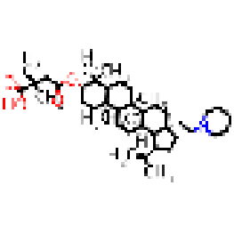 C=C(C)[C@@H]1CC[C@]2(CCN3CCCCC3)CC[C@]3(C)[C@H](CCC4[C@@]5(C)CC[C@H](OC(=O)CC(C)(C)C(=O)O)C(C)(C)C5CC[C@]43C)C12